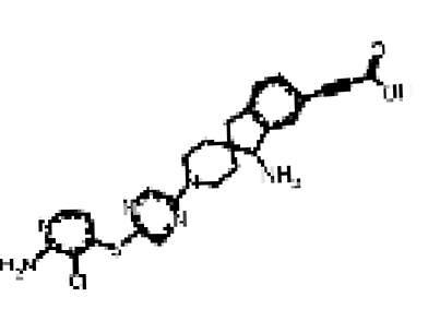 Nc1nccc(Sc2cnc(N3CCC4(CC3)Cc3ccc(C#CC(=O)O)cc3[C@H]4N)cn2)c1Cl